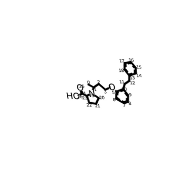 CC(CCOc1ccccc1CCc1ccccc1)N1CCCC1C(=O)O